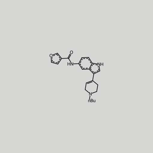 CCCCN1CC=C(c2c[nH]c3ccc(NC(=O)c4ccoc4)cc23)CC1